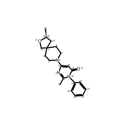 Cc1nc(N2CCC3(CC2)CO[C@@H](C)C3)cc(=O)n1-c1ccccc1